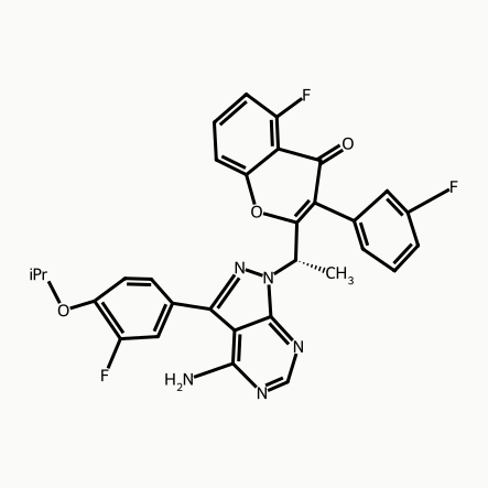 CC(C)Oc1ccc(-c2nn([C@@H](C)c3oc4cccc(F)c4c(=O)c3-c3cccc(F)c3)c3ncnc(N)c23)cc1F